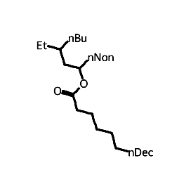 CCCCCCCCCCCCCCCC(=O)OC(CCCCCCCCC)CC(CC)CCCC